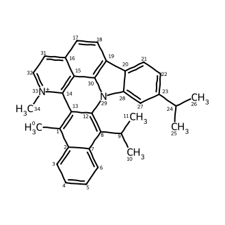 Cc1c2ccccc2c(C(C)C)c2c1c1c3c(ccc4c5ccc(C(C)C)cc5n2c43)cc[n+]1C